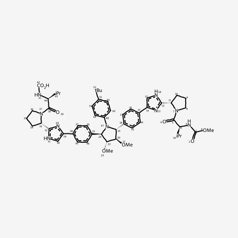 COC(=O)N[C@H](C(=O)N1CCC[C@H]1c1nc(-c2ccc([C@@H]3[C@@H](OC)[C@H](OC)[C@@H](c4ccc(-c5c[nH]c([C@@H]6CCCN6C(=O)[C@@H](NC(=O)O)C(C)C)n5)cc4)N3c3ccc(C(C)(C)C)cc3)cc2)c[nH]1)C(C)C